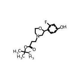 CC(C)(C)OC(=O)CCN1CCOC(c2ccc(O)cc2F)C1